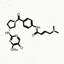 COc1nc(N[C@@H]2CCN(C(=O)c3ccc(NC(=O)/C=C/CN(C)C)cc3)C2)ncc1Cl